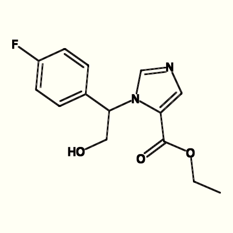 CCOC(=O)c1cncn1C(CO)c1ccc(F)cc1